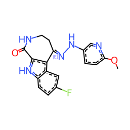 COc1ccc(N/N=C2\CCNC(=O)c3[nH]c4ccc(F)cc4c32)cn1